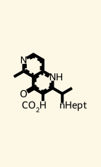 CCCCCCCC(C)c1[nH]c2ccnc(C)c2c(=O)c1C(=O)O